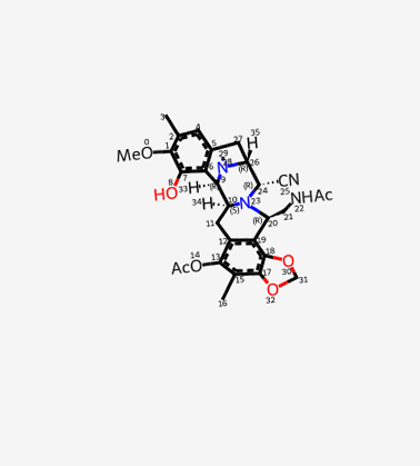 COc1c(C)cc2c(c1O)[C@@H]1[C@@H]3Cc4c(OC(C)=O)c(C)c5c(c4[C@H](CNC(C)=O)N3[C@@H](C#N)[C@@H](C2)N1C)OCO5